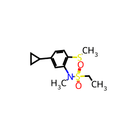 CCS(=O)(=O)N(C)c1cc(C2CC2)ccc1SC